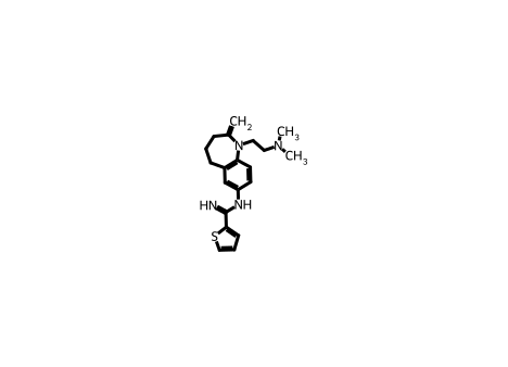 C=C1CCCc2cc(NC(=N)c3cccs3)ccc2N1CCN(C)C